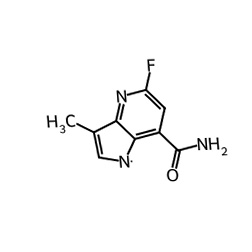 CC1=C[N]c2c(C(N)=O)cc(F)nc21